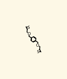 c1cc(COCC2CS2)ccc1COCC1CS1